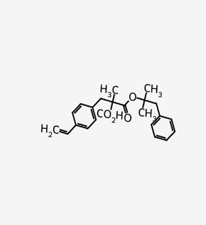 C=Cc1ccc(CC(C)(C(=O)O)C(=O)OC(C)(C)Cc2ccccc2)cc1